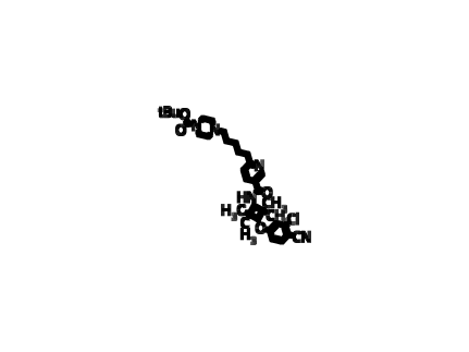 CC(C)(C)OC(=O)N1CCN(CCCCCc2ccc(C(=O)N[C@H]3C(C)(C)[C@H](Oc4ccc(C#N)c(Cl)c4)C3(C)C)cn2)CC1